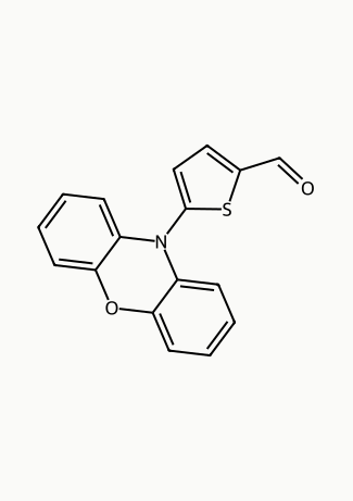 O=Cc1ccc(N2c3ccccc3Oc3ccccc32)s1